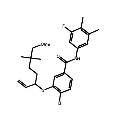 C=CC(CCC(C)(C)COC)Sc1cc(C(=O)Nc2cc(C)c(C)c(F)c2)ccc1Cl